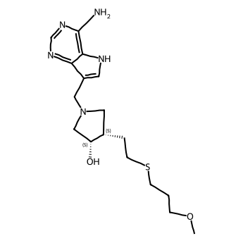 COCCCSCC[C@H]1CN(Cc2c[nH]c3c(N)ncnc23)C[C@H]1O